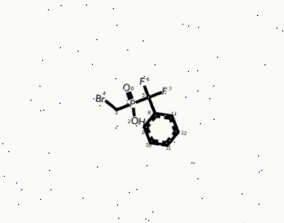 O=P(O)(CBr)C(F)(F)c1ccccc1